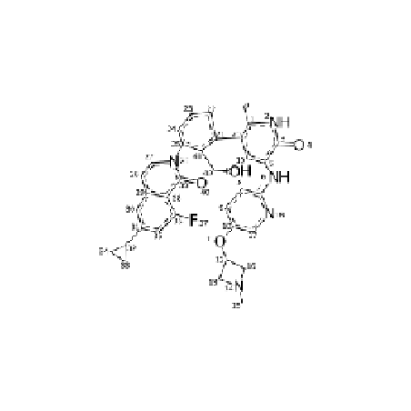 Cc1[nH]c(=O)c(Nc2ccc(OC3CN(C)C3)cn2)cc1-c1cccc(-n2ccc3cc(C4CC4)cc(F)c3c2=O)c1CO